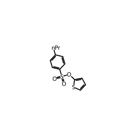 CCCc1ccc(S(=O)(=O)Oc2cccs2)cc1